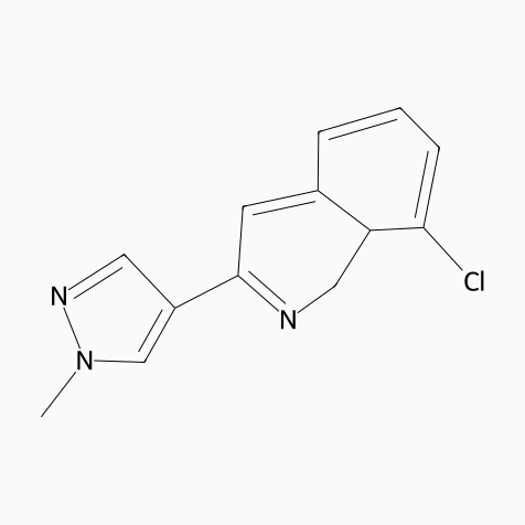 Cn1cc(C2=NCC3C(Cl)=CC=CC3=C2)cn1